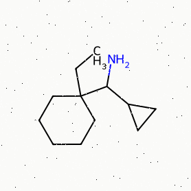 CCC1(C(N)C2CC2)C[CH]CCC1